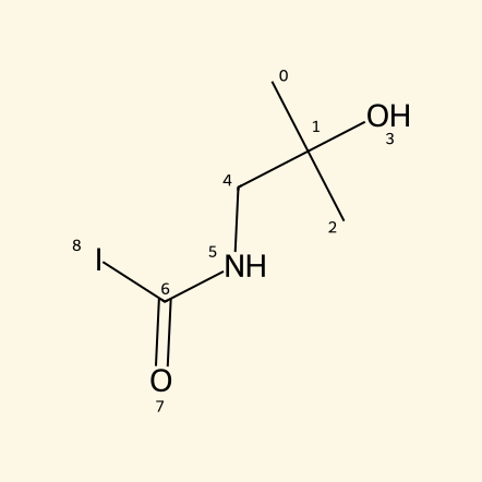 CC(C)(O)CNC(=O)I